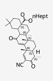 CCCCCCCOC(=O)[C@]12CCC(C)(C)CC1C1C(=O)C=C3[C@@]4(C)C=C(C#N)C(=O)[C@@H](C)[C@@H]4CC[C@@]3(C)[C@]1(C)CC2